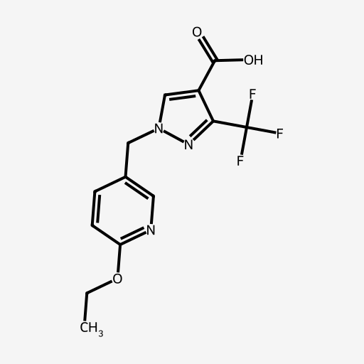 CCOc1ccc(Cn2cc(C(=O)O)c(C(F)(F)F)n2)cn1